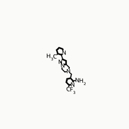 Cc1cccnc1-c1cc2n(n1)CCN(Cc1ccc(C(F)(F)F)nc1N)C2